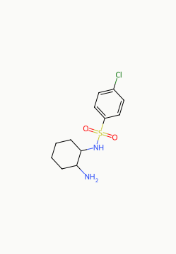 NC1CCCCC1NS(=O)(=O)c1ccc(Cl)cc1